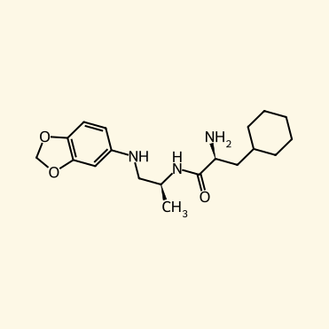 C[C@@H](CNc1ccc2c(c1)OCO2)NC(=O)[C@@H](N)CC1CCCCC1